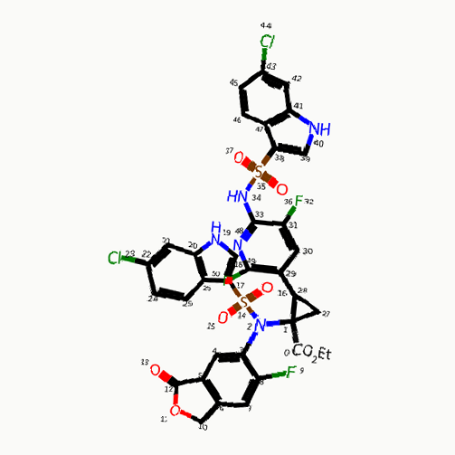 CCOC(=O)C1(N(c2cc3c(cc2F)COC3=O)S(=O)(=O)c2c[nH]c3cc(Cl)ccc23)CC1c1cc(F)c(NS(=O)(=O)c2c[nH]c3cc(Cl)ccc23)nc1F